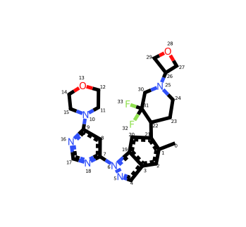 Cc1cc2cnn(-c3cc(N4CCOCC4)ncn3)c2cc1C1CCN(C2COC2)CC1(F)F